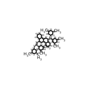 Cc1cc(C)cc(C/C(=C/c2cc3c4ccccc4c(N(c4cc(C)cc(C)c4)c4cc(C)cc(C)c4)cc3c3ccccc23)c2cc(C)cc(C)c2)c1